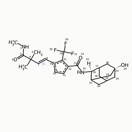 CNC(=O)C(C)(C)/C=C/n1ccc(C(=O)N[C@H]2C3CC4CC2C[C@](O)(C4)C3)c1C(F)(F)F